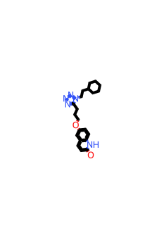 O=c1ccc2cc(OCCCc3nnnn3CCC3CCCCC3)ccc2[nH]1